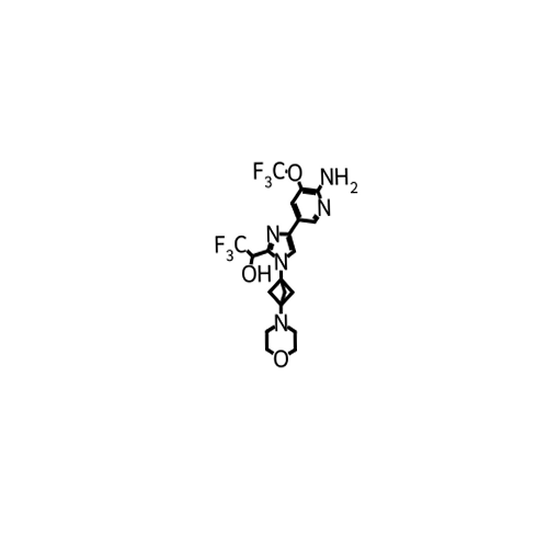 Nc1ncc(-c2cn(C34CC(N5CCOCC5)(C3)C4)c(C(O)C(F)(F)F)n2)cc1OC(F)(F)F